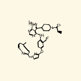 C=CC(=O)N1CCC(c2n[nH]c3ncnc(Nc4ccc(Oc5ccn(Cc6cc(C)ccn6)n5)cc4F)c23)CC1